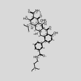 CN(C)CCNC(=O)c1cccc(-c2ccc(O)c3c2C[C@H]2C[C@H]4[C@H](N(C)C)C(O)=C(C(N)=O)C(=O)[C@@]4(O)C(O)=C2C3=O)c1